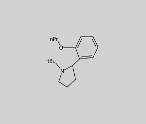 CCCOc1ccccc1C1CCCN1C(C)(C)C